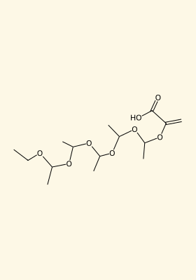 C=C(OC(C)OC(C)OC(C)OC(C)OC(C)OCC)C(=O)O